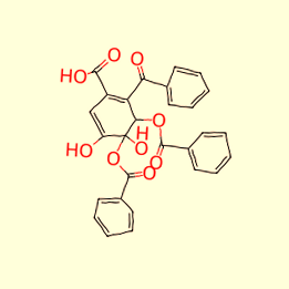 O=C(O)C1=C(C(=O)c2ccccc2)C(OC(=O)c2ccccc2)C(O)(OC(=O)c2ccccc2)C(O)=C1